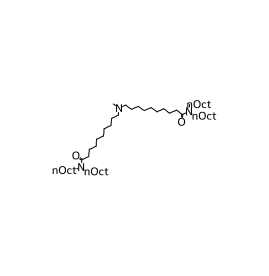 CCCCCCCCN(CCCCCCCC)C(=O)CCCCCCCCCN(C)CCCCCCCCCC(=O)N(CCCCCCCC)CCCCCCCC